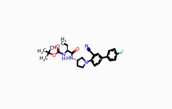 CC[C@H](NC(=O)OC(C)(C)C)C(=O)N[C@H]1CCN(c2ccc(-c3ccc(F)cc3)cc2C#N)C1